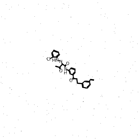 C=Cc1cccc(CCC(=O)c2cccc(NC(=O)/C(=N/Nc3ccccc3Cl)C(C)=O)c2)c1